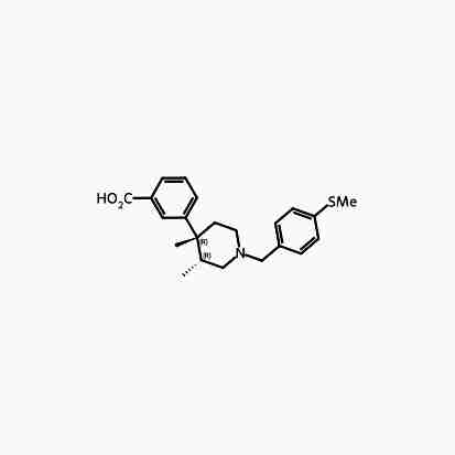 CSc1ccc(CN2CC[C@@](C)(c3cccc(C(=O)O)c3)[C@@H](C)C2)cc1